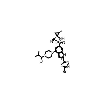 CC(C)C(=O)N1CCN(c2cc(S(=O)(=O)N[C@]3(C#N)C[C@H]3C)cc3nn(-c4nnc(Br)s4)cc23)CC1